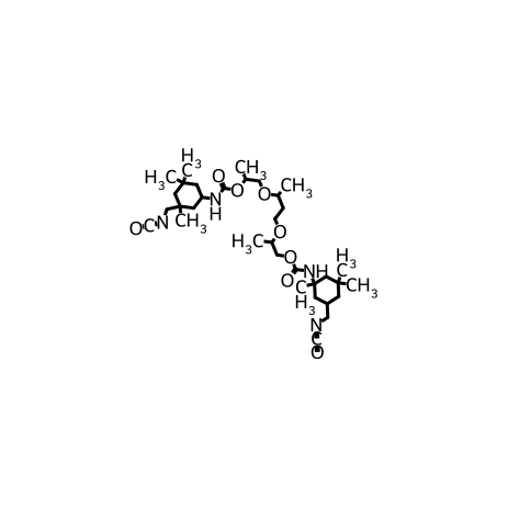 CC(CCOC(C)COC(=O)NC1(C)CC(CN=C=O)CC(C)(C)C1)OCC(C)OC(=O)NC1CC(C)(C)CC(C)(CN=C=O)C1